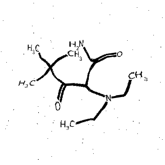 CCN(CC)C(C(N)=O)C(=O)C(C)(C)C